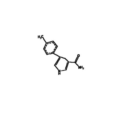 Cc1ccc(C2=CNC=C(C(N)=O)C2)cc1